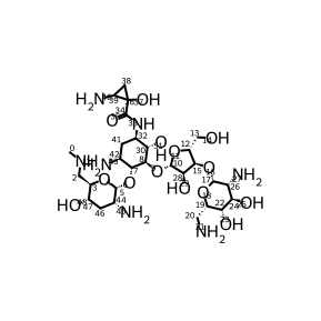 CNC[C@H]1O[C@H](O[C@H]2[C@H](O[C@@H]3O[C@H](CO)[C@@H](O[C@H]4O[C@@H](CN)[C@@H](O)[C@H](O)[C@H]4N)[C@H]3O)[C@@H](O)[C@H](NC(=O)C3(O)CC3N)C[C@@H]2N)[C@H](N)C[C@@H]1O